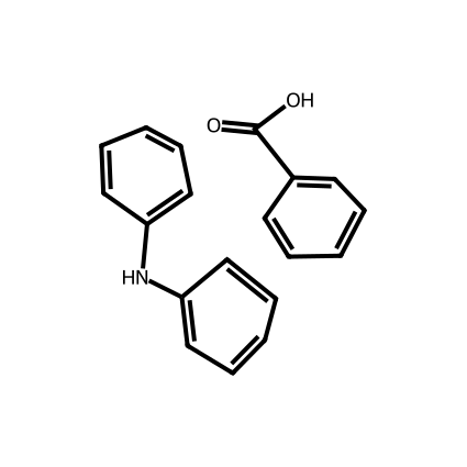 O=C(O)c1ccccc1.c1ccc(Nc2ccccc2)cc1